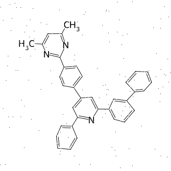 Cc1cc(C)nc(-c2ccc(-c3cc(-c4ccccc4)nc(-c4cccc(-c5ccccc5)c4)c3)cc2)n1